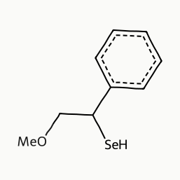 COCC([SeH])c1ccccc1